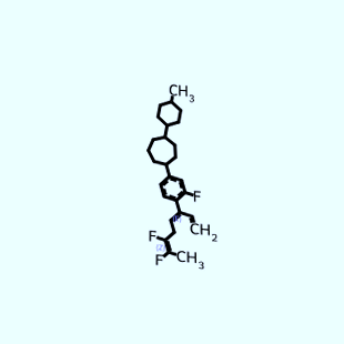 C=C/C(=C\C/C(F)=C(\C)F)c1ccc(C2CCCC(C3CCC(C)CC3)CC2)cc1F